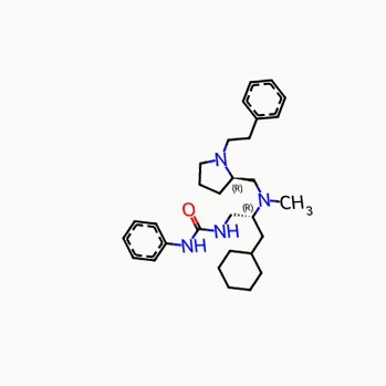 CN(C[C@H]1CCCN1CCc1ccccc1)[C@@H](CNC(=O)Nc1ccccc1)CC1CCCCC1